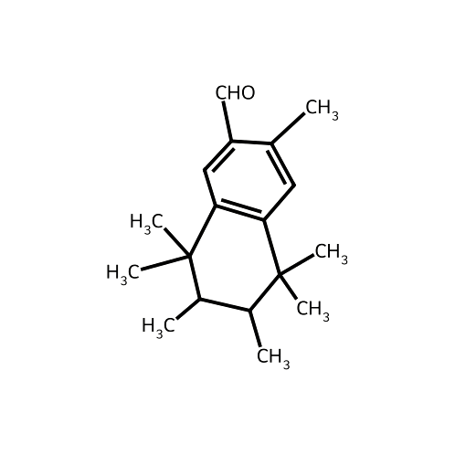 Cc1cc2c(cc1C=O)C(C)(C)C(C)C(C)C2(C)C